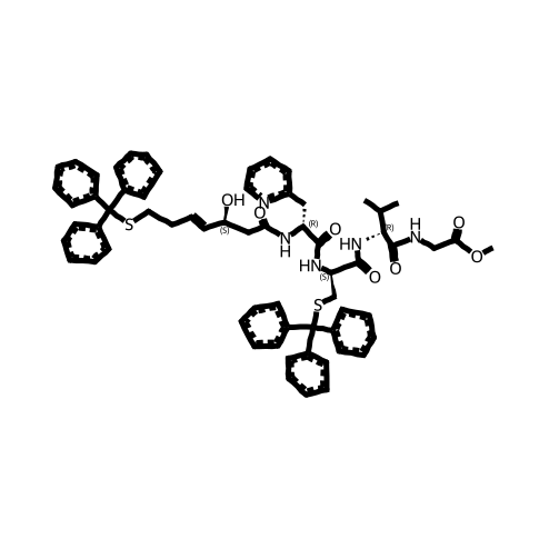 COC(=O)CNC(=O)[C@H](NC(=O)[C@@H](CSC(c1ccccc1)(c1ccccc1)c1ccccc1)NC(=O)[C@@H](Cc1ccccn1)NC(=O)C[C@H](O)C=CCCSC(c1ccccc1)(c1ccccc1)c1ccccc1)C(C)C